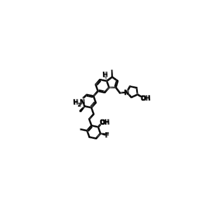 C/C=C(\C=C(\CCC1=C(C)CC[C@H](F)C1O)[C@@H](C)N)C1=CC2C(CN3CCC(O)C3)=CC(C)[C@@H]2C=C1